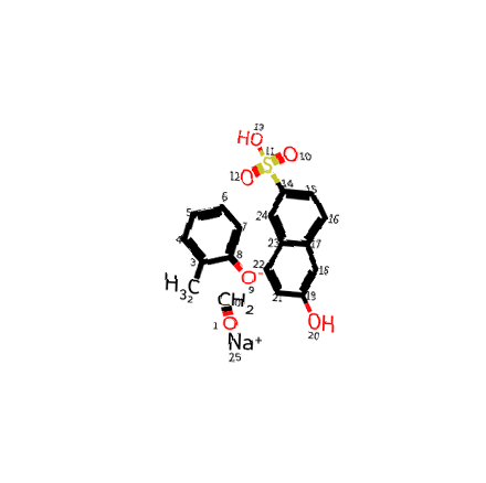 C=O.Cc1ccccc1[O-].O=S(=O)(O)c1ccc2cc(O)ccc2c1.[Na+]